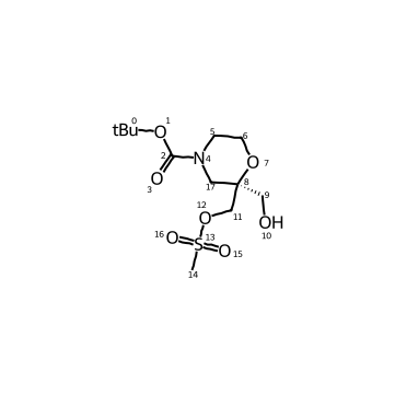 CC(C)(C)OC(=O)N1CCO[C@@](CO)(COS(C)(=O)=O)C1